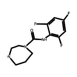 O=C(Nc1c(F)cc(F)cc1F)N1CCC[N]CC1